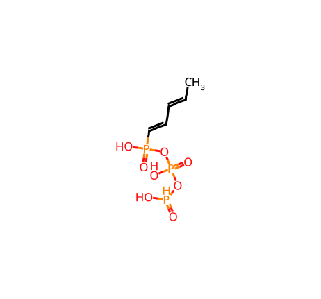 CC=CC=CP(=O)(O)OP(=O)(O)O[PH](=O)O